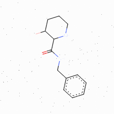 BC1CCCNC1C(=O)NCc1ccccc1